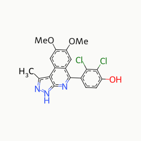 COc1cc2c(-c3ccc(O)c(Cl)c3Cl)nc3[nH]nc(C)c3c2cc1OC